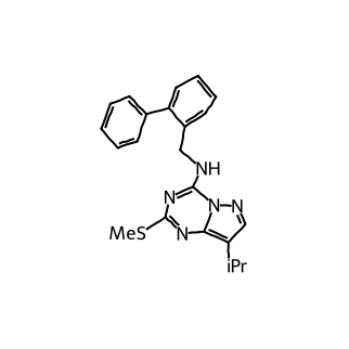 CSc1nc(NCc2ccccc2-c2ccccc2)n2ncc(C(C)C)c2n1